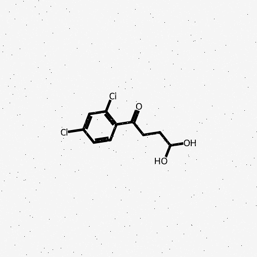 O=C(CCC(O)O)c1ccc(Cl)cc1Cl